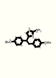 COc1ccc(CC(c2ccc(OCC(C)C)cc2)c2csc(N)n2)cc1